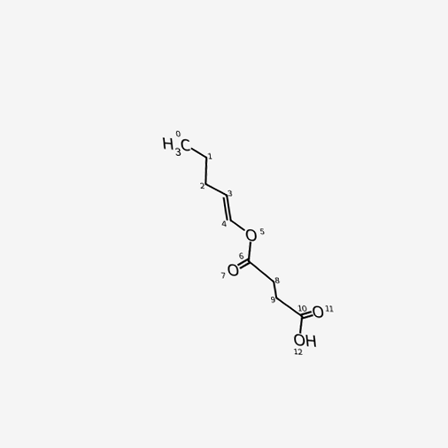 CCCC=COC(=O)CCC(=O)O